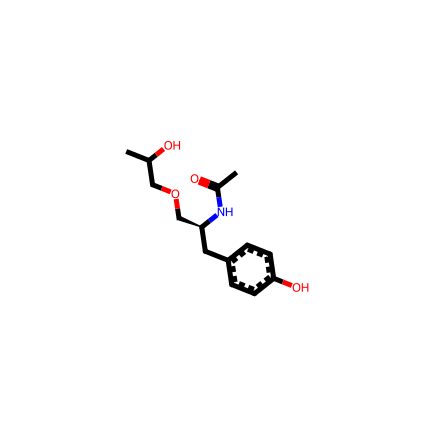 CC(=O)N[C@H](COCC(C)O)Cc1ccc(O)cc1